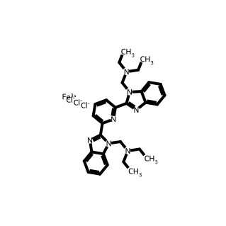 CCN(CC)Cn1c(-c2cccc(-c3nc4ccccc4n3CN(CC)CC)n2)nc2ccccc21.[Cl-].[Cl-].[Cl-].[Fe+3]